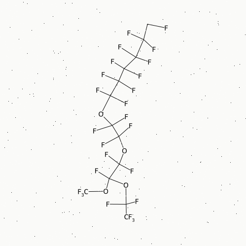 FCC(F)(F)C(F)(F)C(F)(F)C(F)(F)C(F)(F)OC(F)(F)C(F)(F)OC(F)(F)C(F)(OC(F)(F)F)OC(F)(F)C(F)(F)F